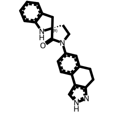 O=C1N(c2ccc3c(c2)CCc2n[nH]cc2-3)CC[C@]12Cc1ccccc1N2